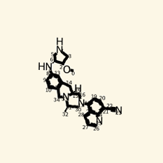 CO[C@H]1CNC[C@H]1Nc1ccc2c(c1)C[C@H]1CN(c3ccc(C#N)c4ncccc34)C[C@@H](C)N1C2